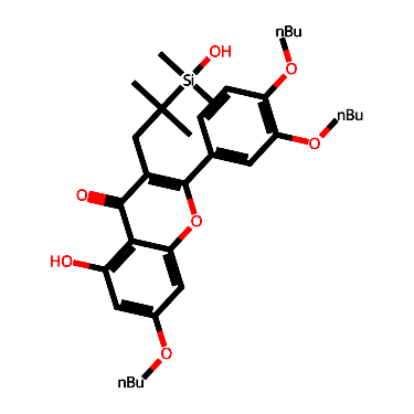 CCCCOc1cc(O)c2c(=O)c(CC(C)(C)[Si](C)(C)O)c(-c3ccc(OCCCC)c(OCCCC)c3)oc2c1